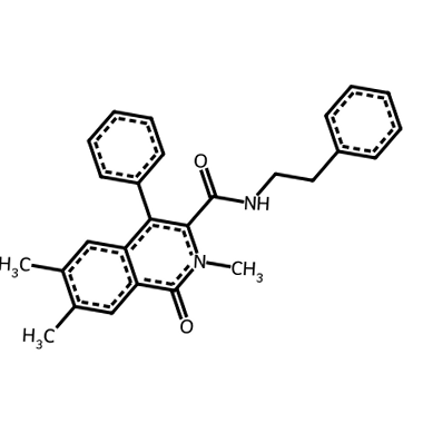 Cc1cc2c(-c3ccccc3)c(C(=O)NCCc3ccccc3)n(C)c(=O)c2cc1C